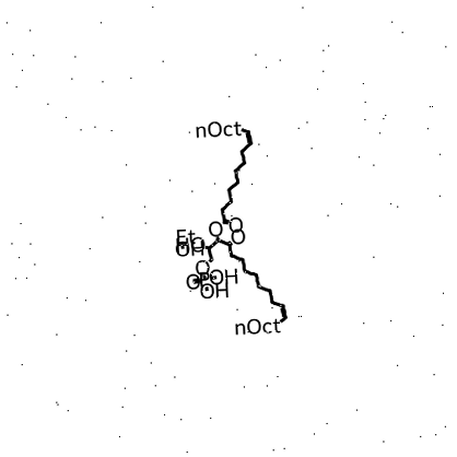 CCCCCCCC/C=C\CCCCCCCC(=O)OC(C(=O)CCCCCCC/C=C\CCCCCCCC)C(O)COP(=O)(O)O.CCO